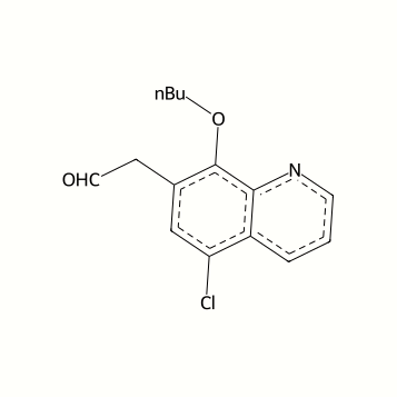 CCCCOc1c(CC=O)cc(Cl)c2cccnc12